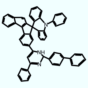 C1=C(c2ccc3c(c2)C2(c4ccccc4N(c4ccccc4)c4ccccc42)c2ccc4ccccc4c2-3)NC(c2ccc(-c3ccccc3)cc2)N=C1c1ccccc1